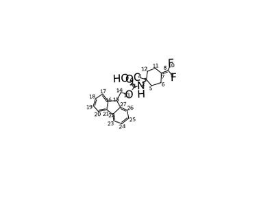 O=C(NC1(C(=O)O)CCC(=C(F)F)CC1)OCC1c2ccccc2-c2ccccc21